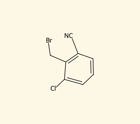 N#Cc1cccc(Cl)c1CBr